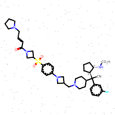 N#CC(c1cccc(F)c1)(C1CCN(CC2CN(c3ccc(S(=O)(=O)C4CN(C(=O)/C=C/CN5CCCC5)C4)cc3)C2)CC1)[C@H]1CCC[C@@H]1NC(=O)O